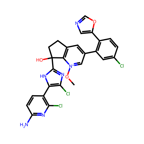 CO[n+]1cc(-c2cc(Cl)ccc2-c2cnco2)cc2c1C(O)(c1nc(Cl)c(-c3ccc(N)nc3Cl)[nH]1)CC2